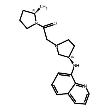 C[C@@H]1CCCN1C(=O)CN1CC[C@@H](Nc2cccc3cccnc23)C1